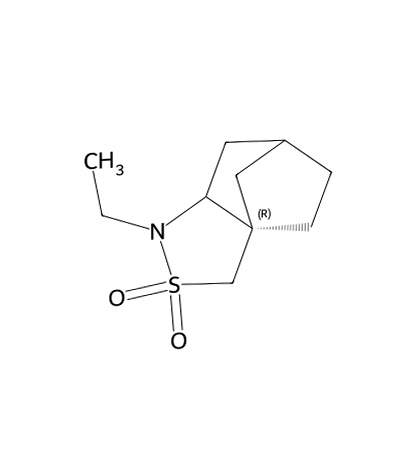 CCN1C2CC3CC[C@]2(C3)CS1(=O)=O